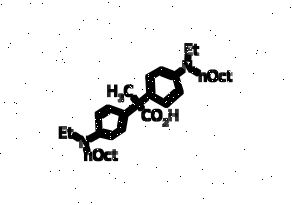 CCCCCCCCN(CC)c1ccc(C(C)(C(=O)O)c2ccc(N(CC)CCCCCCCC)cc2)cc1